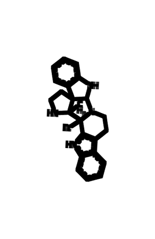 CCC12c3[nH]c4ccccc4c3CCN1C1Nc3ccccc3C13CCNC32C